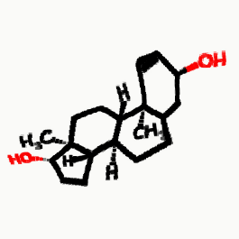 C[C@]12CC[C@H]3[C@@H](CCC4C[C@H](O)C=C[C@@]43C)[C@@H]1CC[C@@H]2O